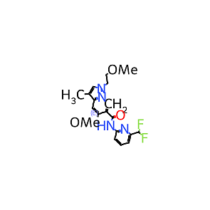 C=C(C(=O)Nc1cccc(C(F)F)n1)/C(=C\c1nn(CCOC)cc1C)OC